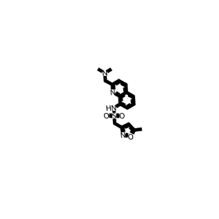 Cc1cc(CS(=O)(=O)Nc2cccc3ccc(CN(C)C)nc23)no1